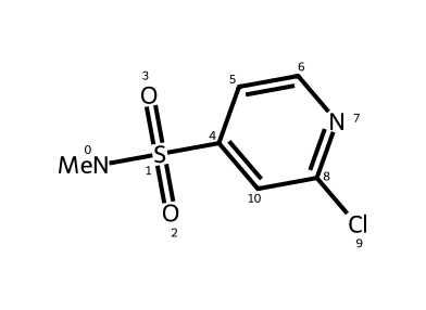 CNS(=O)(=O)c1ccnc(Cl)c1